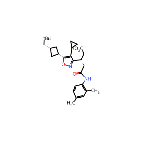 Cc1ccc(NC(=O)C[C@@H](CC(=O)O)c2noc([C@H]3C[C@@H](CC(C)(C)C)C3)c2C2CC2)c(C)c1